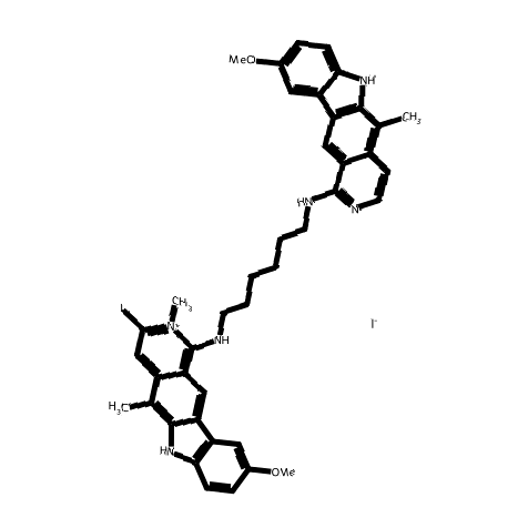 COc1ccc2[nH]c3c(C)c4ccnc(NCCCCCCNc5c6cc7c([nH]c8ccc(OC)cc87)c(C)c6cc(I)[n+]5C)c4cc3c2c1.[I-]